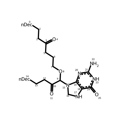 CCCCCCCCCCCCC(=O)CCCOC(C(=O)CCCCCCCCCCCC)N1CNc2c1nc(N)[nH]c2=O